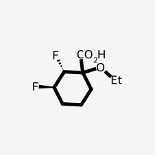 CCOC1(C(=O)O)CCC[C@@H](F)[C@@H]1F